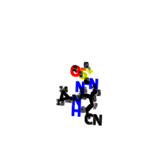 C[S+]([O-])c1ncc(/C=C/C#N)c(NC2CC2)n1